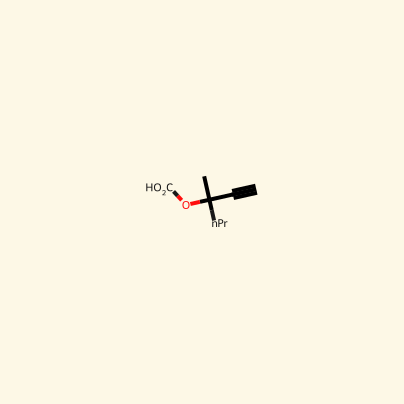 C#CC(C)(CCC)OC(=O)O